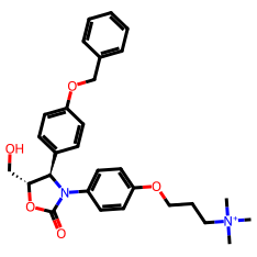 C[N+](C)(C)CCCOc1ccc(N2C(=O)O[C@H](CO)[C@H]2c2ccc(OCc3ccccc3)cc2)cc1